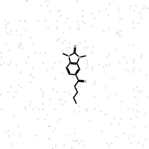 [CH2]CCCC(=O)c1ccc2c(c1)n(C)c(=O)n2C